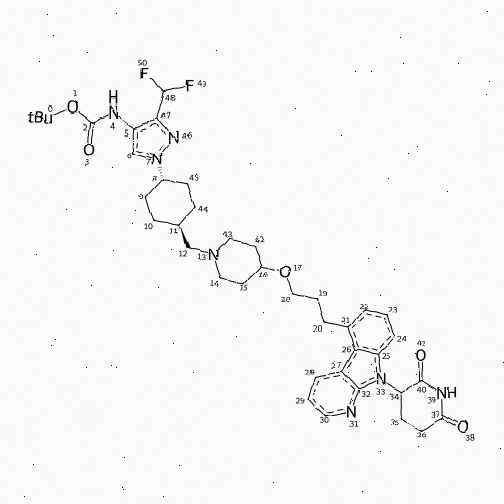 CC(C)(C)OC(=O)Nc1cn([C@H]2CC[C@H](CN3CCC(OCCCc4cccc5c4c4cccnc4n5C4CCC(=O)NC4=O)CC3)CC2)nc1C(F)F